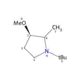 CO[C@@H]1CCN(C(C)(C)C)C1C